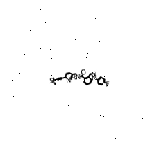 C[Si](C)(C)C#Cc1ccc(CNC(=O)c2cccc3c2cnn3-c2ccc(F)cc2)cn1